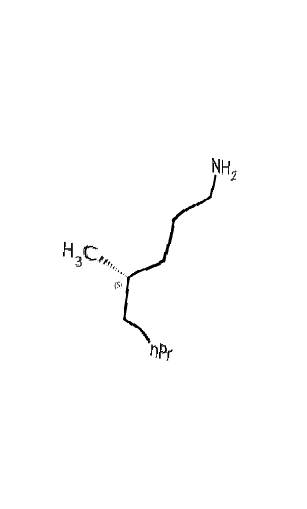 CCCC[C@H](C)CCCN